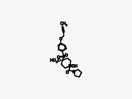 CC#CCOc1ccc(S(=O)(=O)C2(C(=O)O)CC[N+](O)(C(=O)N3CCCC3)CC2)cc1